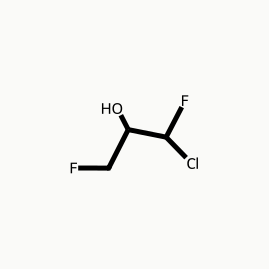 OC(CF)C(F)Cl